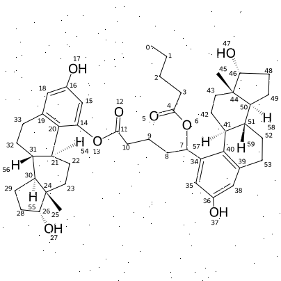 CCCCC(=O)OC(CCCC(=O)Oc1cc(O)cc2c1[C@H]1CC[C@]3(C)[C@H](O)CC[C@H]3[C@@H]1CC2)c1cc(O)cc2c1[C@H]1CC[C@]3(C)[C@H](O)CC[C@H]3[C@@H]1CC2